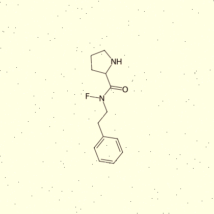 O=C(C1CCCN1)N(F)CCc1ccccc1